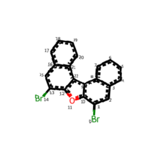 Brc1cc2ccccc2c2c1oc1c(Br)cc3ccccc3c12